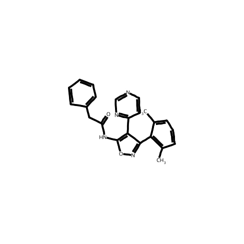 Cc1cccc(C)c1-c1noc(NC(=O)Cc2ccccc2)c1-c1ccncn1